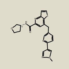 Cn1cc(-c2ccc(Cc3cc(C(=O)N[C@@H]4CCOC4)nc4ccsc34)cn2)cn1